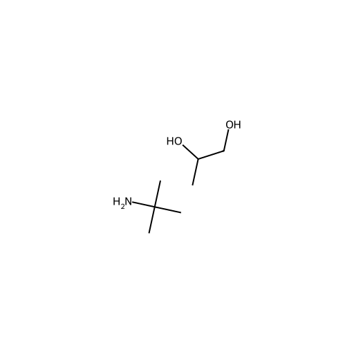 CC(C)(C)N.CC(O)CO